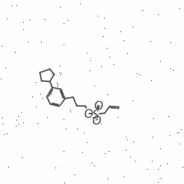 C=CCS(=O)(=O)OCCCc1cccc(C2CCCC2)c1